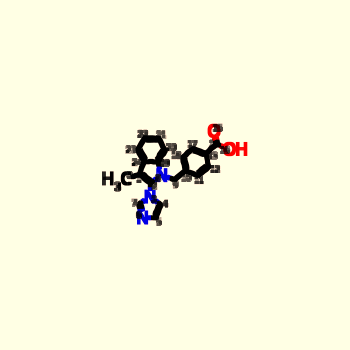 Cc1c(-n2ccnc2)n(Cc2ccc(C(=O)O)cc2)c2ccccc12